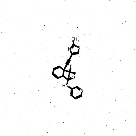 Cc1nc(C#CC2(C(F)(F)F)C=CC=CC2C(=O)Nc2cccnc2)cs1